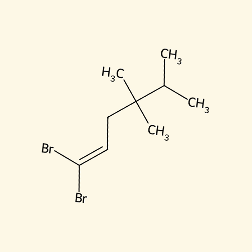 CC(C)C(C)(C)CC=C(Br)Br